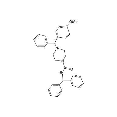 COc1ccc(C(c2ccccc2)N2CCN(C(=O)NC(c3ccccc3)c3ccccc3)CC2)cc1